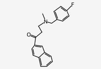 CN(CCC(=O)c1ccc2ccccc2c1)Cc1ccc(F)cc1